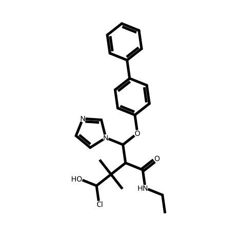 CCNC(=O)C(C(Oc1ccc(-c2ccccc2)cc1)n1ccnc1)C(C)(C)C(O)Cl